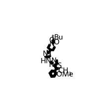 COc1ccccc1-c1c(C)sc2cnc(Nc3cnn(C4CCN(C(=O)OC(C)(C)C)CC4)c3)nc12